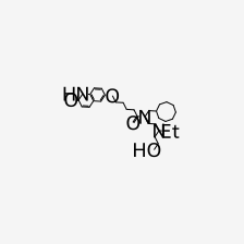 CCN(CCO)CCN(CC1CCCCCCC1)C(=O)CCCCOc1ccc2[nH]c(=O)ccc2c1